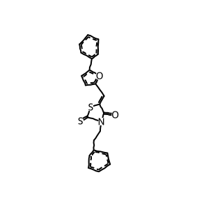 O=C1C(=Cc2ccc(-c3ccccc3)o2)SC(=S)N1CCc1ccccc1